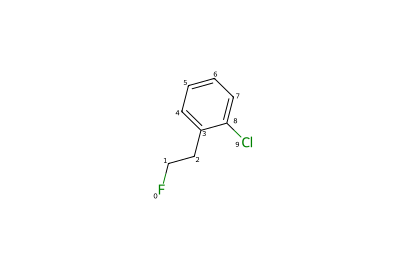 FCCc1ccccc1Cl